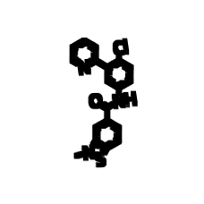 Cn1sc2ccc(C(=O)Nc3ccc(Cl)c(-c4ccccn4)c3)cc21